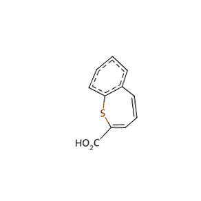 O=C(O)C1=CC=Cc2ccccc2S1